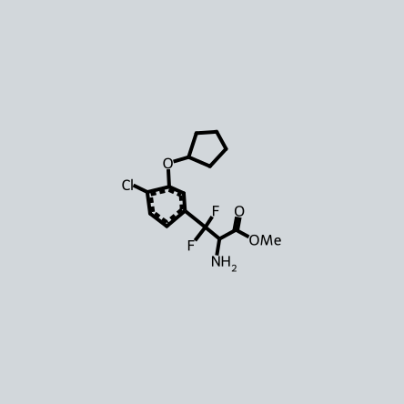 COC(=O)C(N)C(F)(F)c1ccc(Cl)c(OC2CCCC2)c1